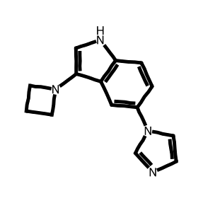 c1cn(-c2ccc3[nH]cc(N4CCC4)c3c2)cn1